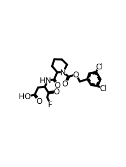 O=C(O)CC(NC(=O)C1CCCCN1C(=O)OCc1cc(Cl)cc(Cl)c1)C(=O)CF